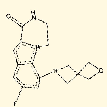 O=C1NCCn2c1cc1cc(F)cc(N3CC4(COC4)C3)c12